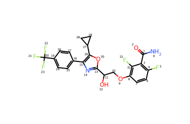 NC(=O)c1c(F)ccc(OCC(O)c2nc(-c3ccc(C(F)(F)F)cc3)c(C3CC3)o2)c1F